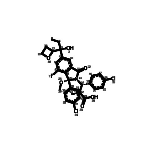 CC[C@](O)(c1cc(F)c2c(c1)C(=O)N([C@H](c1ccc(Cl)cc1)[C@H](C)C(=O)O)[C@@]2(OC)c1ccc(Cl)cc1)C1CCO1